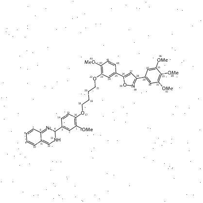 COc1cc(C2N=c3ccccc3=CN2)ccc1OCCCCOc1cc(-c2cc(-c3cc(OC)c(OC)c(OC)c3)no2)ccc1OC